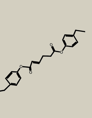 CCc1ccc(OC(=O)C=CCCC(=O)Oc2ccc(CC)cc2)cc1